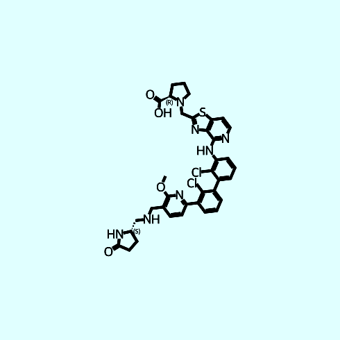 COc1nc(-c2cccc(-c3cccc(Nc4nccc5sc(CN6CCC[C@@H]6C(=O)O)nc45)c3Cl)c2Cl)ccc1CNC[C@@H]1CCC(=O)N1